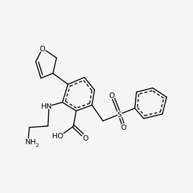 NCCNc1c(C2C=COC2)ccc(CS(=O)(=O)c2ccccc2)c1C(=O)O